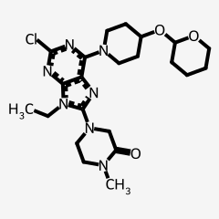 CCn1c(N2CCN(C)C(=O)C2)nc2c(N3CCC(OC4CCCCO4)CC3)nc(Cl)nc21